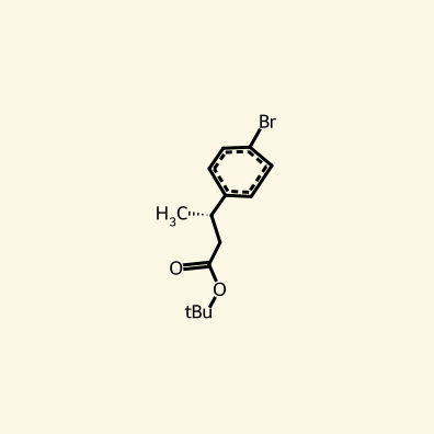 C[C@@H](CC(=O)OC(C)(C)C)c1ccc(Br)cc1